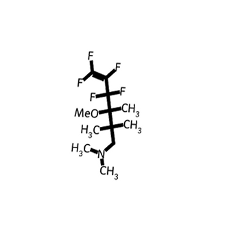 COC(C)(C(C)(C)CN(C)C)C(F)(F)C(F)=C(F)F